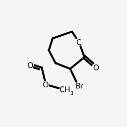 COC=O.O=C1CCCCCC1Br